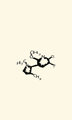 COc1nc(Cl)c(F)cc1-c1c(C)ccn1C